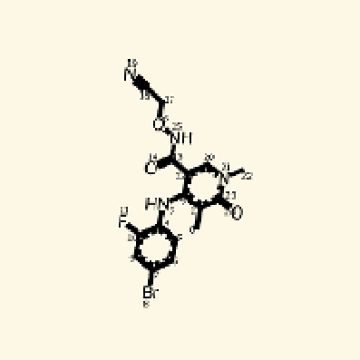 Cc1c(Nc2ccc(Br)cc2F)c(C(=O)NOCC#N)cn(C)c1=O